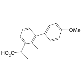 COc1ccc(-c2cccc(C(C)C(=O)O)c2C)cc1